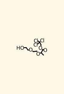 CC(OCCOCCO)C(=O)OCC(Cl)(Cl)Cl